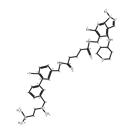 CCc1nc2c(cnn2CC)c(NC2CCOCC2)c1CNC(=O)CCCC(=O)NCc1ccc(F)c(-c2cccc(CN(C)CCN(C)C)c2)c1